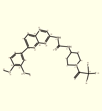 C=C(N1CCC(NC(=O)Nc2cnc3ccc(-c4ccc(OC)c(OC)c4)nc3n2)CC1)C(F)(F)F